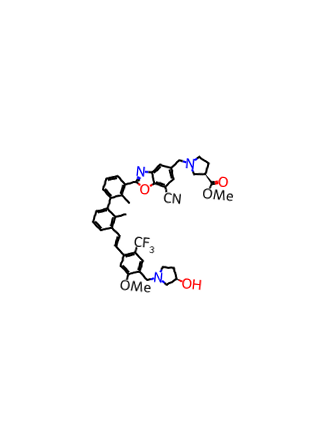 COC(=O)[C@@H]1CCN(Cc2cc(C#N)c3oc(-c4cccc(-c5cccc(/C=C/c6cc(OC)c(CN7CC[C@@H](O)C7)cc6C(F)(F)F)c5C)c4C)nc3c2)C1